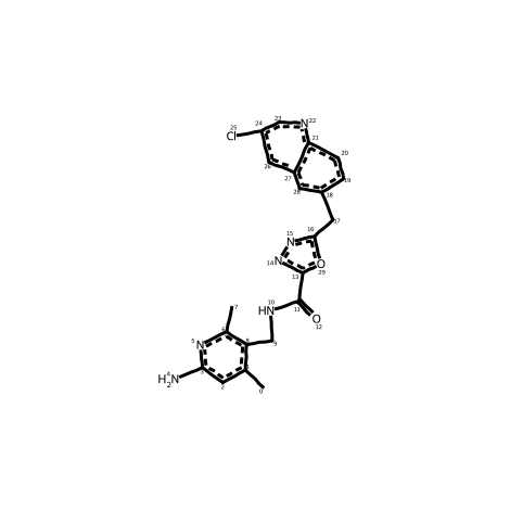 Cc1cc(N)nc(C)c1CNC(=O)c1nnc(Cc2ccc3ncc(Cl)cc3c2)o1